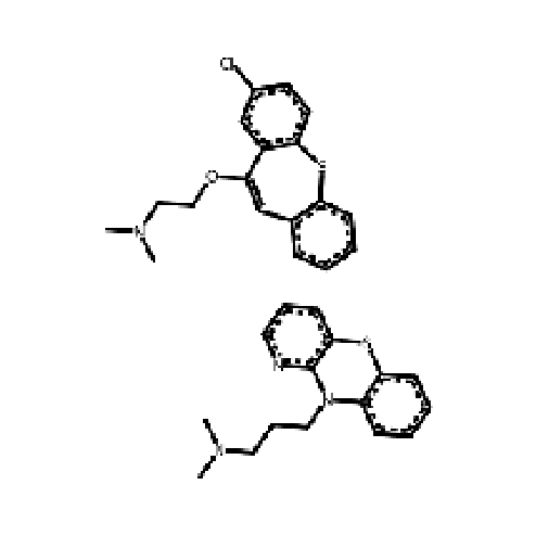 CN(C)CCCN1c2ccccc2Sc2cccnc21.CN(C)CCOC1=Cc2ccccc2Sc2ccc(Cl)cc21